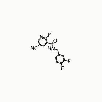 N#Cc1cnc(F)c(C(=O)NCc2ccc(F)c(F)c2)c1